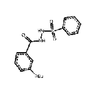 CC(C)COc1cccc(C(=O)NNS(=O)(=O)c2ccccc2)c1